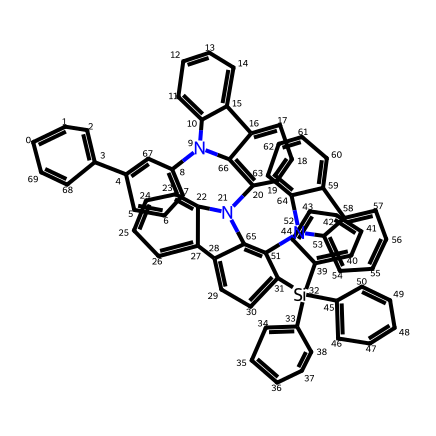 c1ccc(-c2cccc(-n3c4ccccc4c4cccc(-n5c6ccccc6c6ccc([Si](c7ccccc7)(c7ccccc7)c7ccccc7)c(-n7c8ccccc8c8ccccc87)c65)c43)c2)cc1